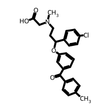 Cc1ccc(C(=O)c2cccc(OC(CCN(C)CC(=O)O)c3ccc(Cl)cc3)c2)cc1